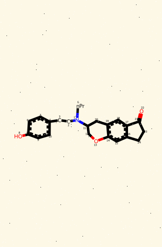 CCCN(CCc1ccc(O)cc1)C1COc2cc3c(cc2C1)C(=O)CC3